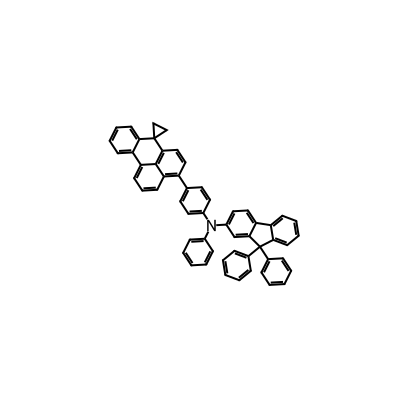 c1ccc(N(c2ccc(-c3ccc4c5c(cccc35)-c3ccccc3C43CC3)cc2)c2ccc3c(c2)C(c2ccccc2)(c2ccccc2)c2ccccc2-3)cc1